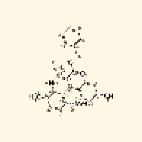 COc1cc(C#N)ccc1[C@@H]1C(C(=O)OCc2ccccc2)=C(C)Nc2c(C)cnc(O)c21